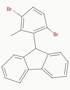 Cc1c(Br)ccc(Br)c1C1c2ccccc2-c2ccccc21